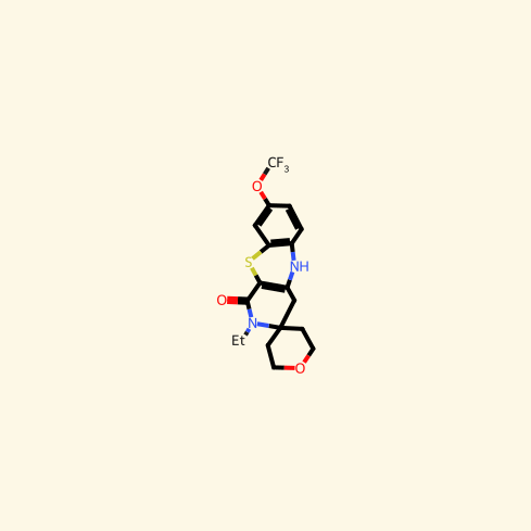 CCN1C(=O)C2=C(CC13CCOCC3)Nc1ccc(OC(F)(F)F)cc1S2